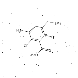 COC(=O)c1c(Cl)c(N)cc(CSC)[n+]1[O-]